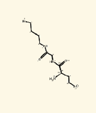 CC(C)CCCCNC(=O)CNC(=O)[C@H](N)CCN=O